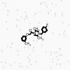 Cc1cccc(OCC(=O)N2CC(C)N(Cc3ccc(F)cc3)CC2C)c1